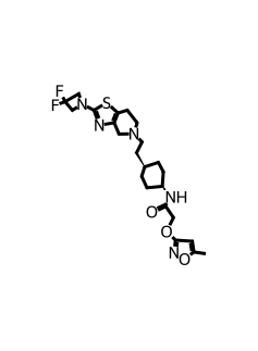 Cc1cc(OCC(=O)N[C@H]2CC[C@H](CCN3CCc4sc(N5CC(F)(F)C5)nc4C3)CC2)no1